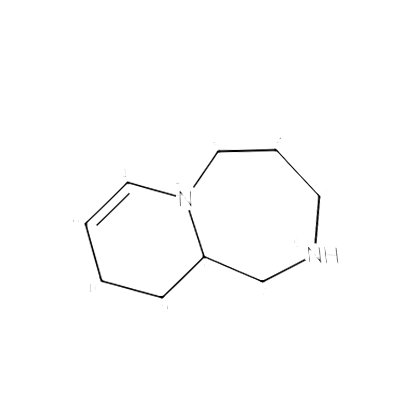 C1=CN2CCCNCC2CC1